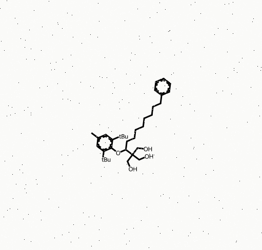 Cc1cc(C(C)(C)C)c(OC(CCCCCCCCc2ccccc2)C(CO)(CO)CO)c(C(C)(C)C)c1